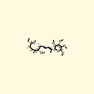 CC[C@H](OC)[C@@H](C)[C@H]1C[C@@H]1[C@@H](O)[C@H](C)/C=C/C=C(\C)[C@H]1O[C@H](OC)[C@H](OC)[C@@H](OC)[C@@H]1OC